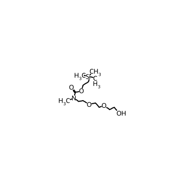 CN(CCOCCOCCO)C(=O)OCC[Si](C)(C)C